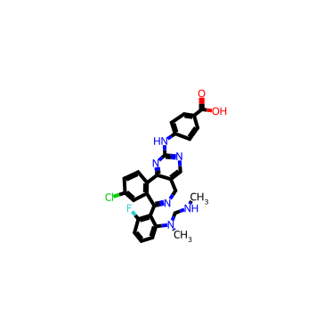 CNCN(C)c1cccc(F)c1C1=NCc2cnc(Nc3ccc(C(=O)O)cc3)nc2-c2ccc(Cl)cc21